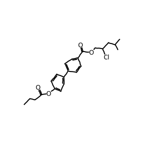 CCCC(=O)Oc1ccc(-c2ccc(C(=O)OCC(Cl)CC(C)C)cc2)cc1